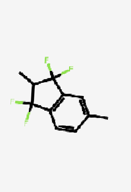 Cc1ccc2c(c1)C(F)(F)C(C)C2(F)F